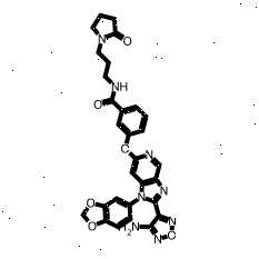 Nc1nonc1-c1nc2cnc(Oc3cccc(C(=O)NCCCN4CCCC4=O)c3)cc2n1-c1ccc2c(c1)OCO2